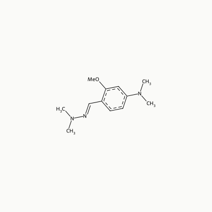 COc1cc(N(C)C)ccc1C=NN(C)C